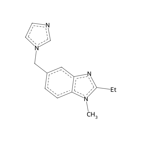 CCc1nc2cc(Cn3ccnc3)ccc2n1C